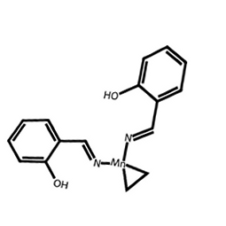 Oc1ccccc1C=[N][Mn]1([N]=Cc2ccccc2O)[CH2][CH2]1